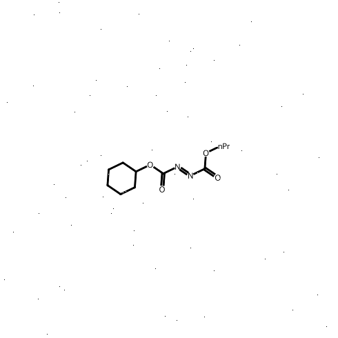 CCCOC(=O)N=NC(=O)OC1CCCCC1